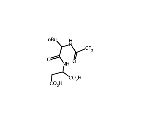 CCCCC(NC(=O)C(F)(F)F)C(=O)NC(CC(=O)O)C(=O)O